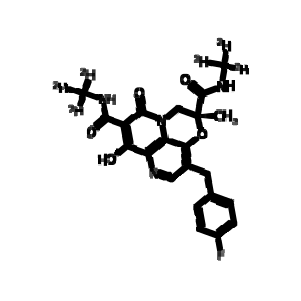 [2H]C([2H])([2H])NC(=O)c1c(O)c2ncc(Cc3ccc(F)cc3)c3c2n(c1=O)C[C@](C)(C(=O)NC([2H])([2H])[2H])O3